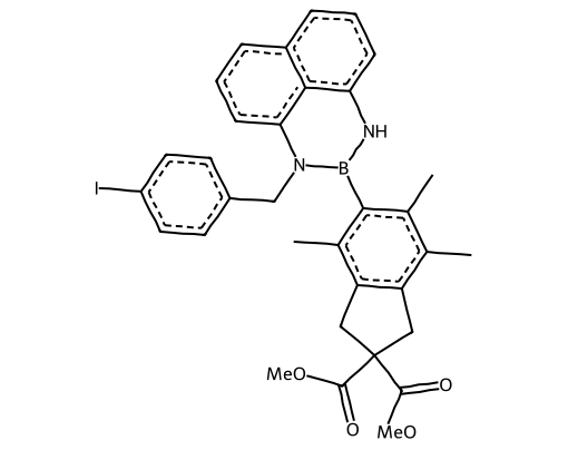 COC(=O)C1(C(=O)OC)Cc2c(C)c(C)c(B3Nc4cccc5cccc(c45)N3Cc3ccc(I)cc3)c(C)c2C1